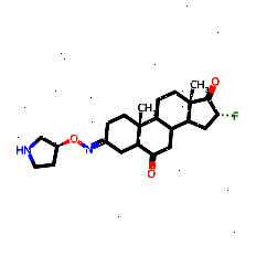 C[C@]12CCC(=NO[C@H]3CCNC3)CC1C(=O)CC1C2CC[C@]2(C)C(=O)[C@H](F)CC12